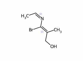 C/C=N\C(Br)=C(/C)CO